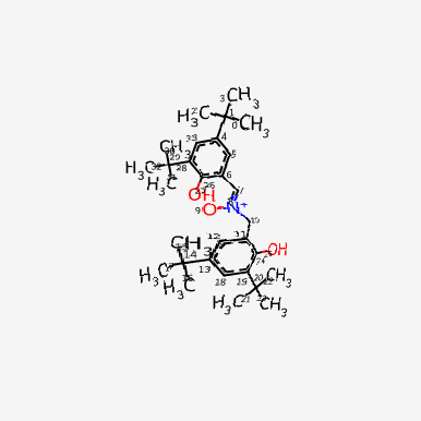 CC(C)(C)c1cc(/C=[N+](\[O-])Cc2cc(C(C)(C)C)cc(C(C)(C)C)c2O)c(O)c(C(C)(C)C)c1